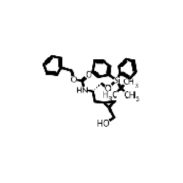 CC(C)(C)[Si](OC[C@H](CC1CC1CO)NC(=O)OCc1ccccc1)(c1ccccc1)c1ccccc1